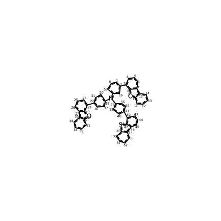 c1cc(-c2cccc3c2oc2ccccc23)cc(N(c2ccc(-c3cccc4c3oc3ccccc34)cc2)c2ccc(-c3cccc4c3sc3ccccc34)cc2)c1